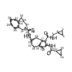 O=C(NCC1CC1)c1c(NC(=O)C2CC2)sc2c1C[C@@H](NC(=S)N(Cc1ccccc1)CC1CC1)CC2